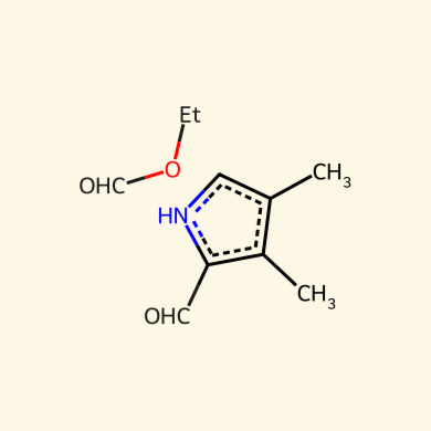 CCOC=O.Cc1c[nH]c(C=O)c1C